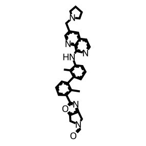 Cc1c(Nc2nccc3cc(CN4CCCC4)cnc23)cccc1-c1cccc(-c2nc3c(o2)CN(C=O)C3)c1C